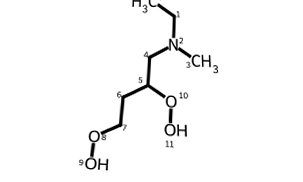 CCN(C)CC(CCOO)OO